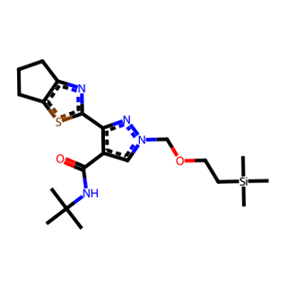 CC(C)(C)NC(=O)c1cn(COCC[Si](C)(C)C)nc1-c1nc2c(s1)CCC2